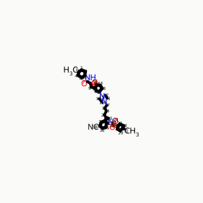 Cc1ccc(NC(=O)c2cc3cc(N4CCN(CCCCc5cn(S(=O)(=O)c6ccc(C)cc6)c6ccc(C#N)cc56)CC4)ccc3o2)cc1